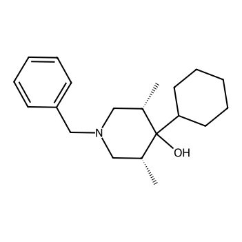 C[C@@H]1CN(Cc2ccccc2)C[C@H](C)C1(O)C1CCCCC1